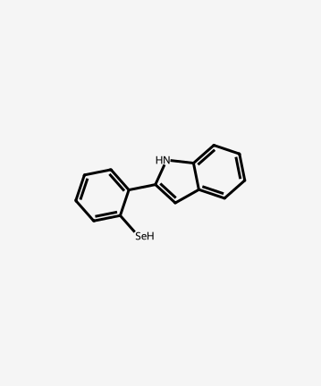 [SeH]c1ccccc1-c1cc2ccccc2[nH]1